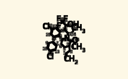 C=CC[C@@]1(C)C[C@H](c2cccc(Cl)c2)[C@@H](c2ccc(Cl)cc2)N([C@@H](CC)C[C@H](O)C(F)(F)F)C1=O